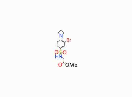 COC(=O)CNS(=O)(=O)c1ccc(N2CCC2)c(Br)c1